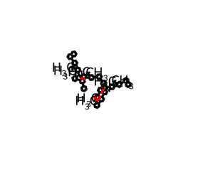 CC1(C)c2ccccc2-c2ccc(-c3ccc(N(c4ccc5c(c4)C(C)(C)c4cc(-c6cccc7ccccc67)ccc4-5)c4ccc(-c5cccc(-c6ccc7c(c6)C(C)(C)c6cc(N(c8ccc9c(c8)C(C)(C)c8cc(-c%10cccc%11ccccc%10%11)ccc8-9)c8ccccc8-c8cccc(-c9ccccc9)c8)ccc6-7)c5)cc4-c4ccc(-c5ccccc5)cc4)cc3)cc21